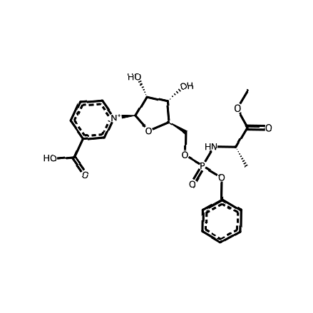 COC(=O)[C@H](C)NP(=O)(OC[C@H]1O[C@@H]([n+]2cccc(C(=O)O)c2)[C@H](O)[C@@H]1O)Oc1ccccc1